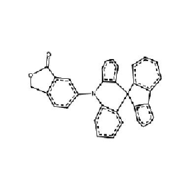 O=C1OCc2ccc(N3c4ccccc4C4(c5ccccc5-c5ccccc54)c4ccccc43)cc21